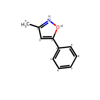 Cc1[c]c(-c2ccccc2)on1